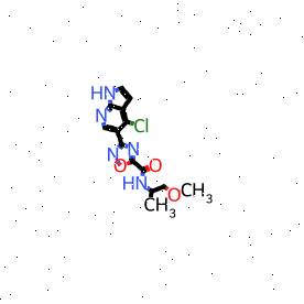 COCC(C)NC(=O)c1nc(-c2cnc3[nH]ccc3c2Cl)no1